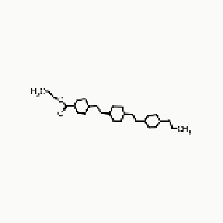 CCCOC(=O)C1CCC(CCC2CCC(CCC3CCC(CCC)CC3)CC2)CC1